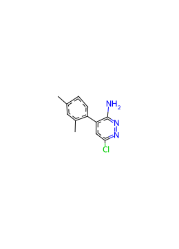 Cc1ccc(-c2cc(Cl)nnc2N)c(C)c1